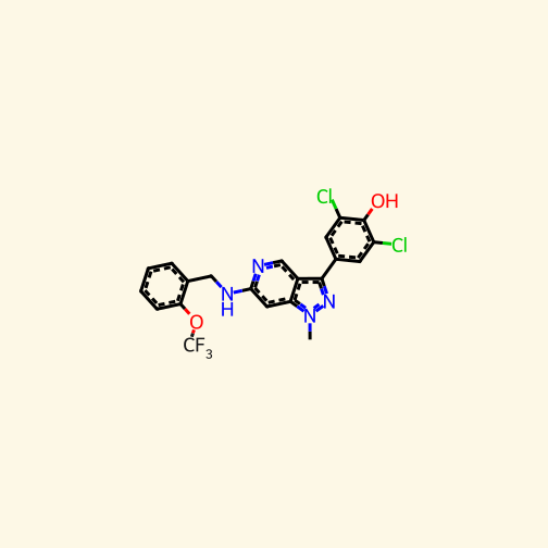 Cn1nc(-c2cc(Cl)c(O)c(Cl)c2)c2cnc(NCc3ccccc3OC(F)(F)F)cc21